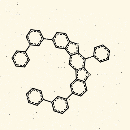 c1ccc(-c2cccc(-c3ccc4oc5c(-c6ccccc6)c6oc7ccc(-c8cccc(-c9ccccc9)c8)cc7c6cc5c4c3)c2)cc1